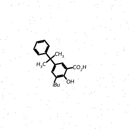 CCC(C)c1cc(C(C)(C)c2ccccc2)cc(C(=O)O)c1O